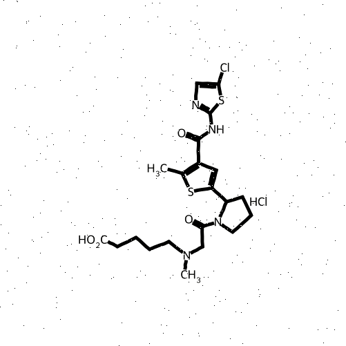 Cc1sc(C2CCCN2C(=O)CN(C)CCCCC(=O)O)cc1C(=O)Nc1ncc(Cl)s1.Cl